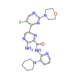 Nc1ncc(-c2nc(N3CCOCC3)ncc2F)nc1C(=O)Nc1ncccc1N1CCCCC1